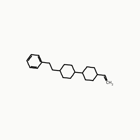 C=CC1CCC(C2CCC(CCc3ccccc3)CC2)CC1